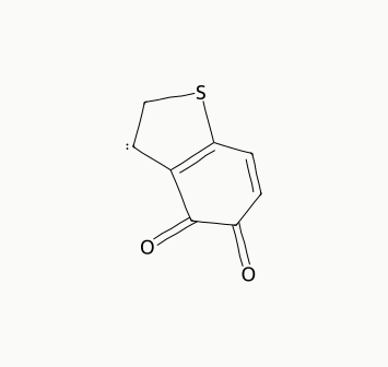 O=C1C=CC2=C([C]CS2)C1=O